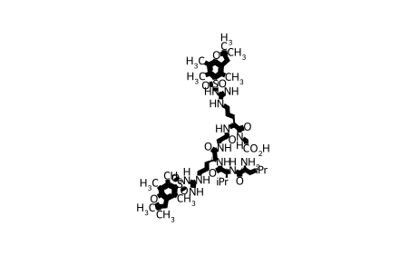 Cc1c(C)c(S(=O)(=O)NC(=N)NCCC[C@H](NC(=O)CNC(=O)[C@H](CCCNC(=N)NS(=O)(=O)c2c(C)c(C)c3c(c2C)CC(C)(C)O3)NC(=O)[C@@H](NC(=O)[C@@H](N)CC(C)C)C(C)C)C(=O)NCC(=O)O)c(C)c2c1OC(C)(C)C2